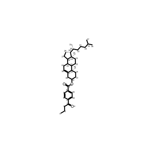 CCCC(=O)c1ccc(C(=O)OC2CC[C@@]3(C)C(=CCC4C3CC[C@@]3(C)C4CC[C@@H]3[C@H](C)CCCC(C)C)C2)cc1